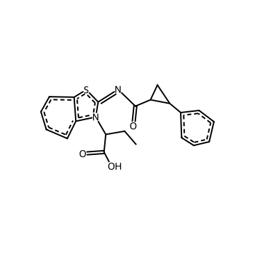 CCC(C(=O)O)n1/c(=N\C(=O)C2CC2c2ccccc2)sc2ccccc21